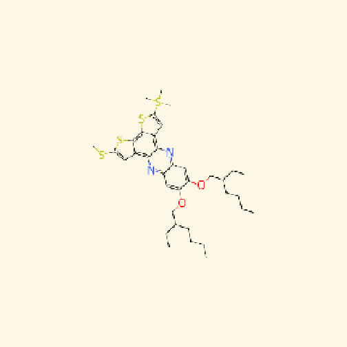 CCCCC(CC)COc1cc2nc3c4cc(SC)sc4c4sc(S(C)(C)C)cc4c3nc2cc1OCC(CC)CCCC